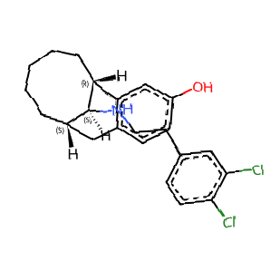 Oc1ccc2c(c1)[C@H]1CCCCC[C@@H](C2)[C@@H]1NCCc1ccc(Cl)c(Cl)c1